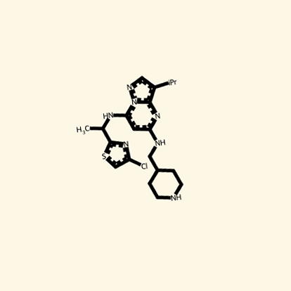 CC(C)c1cnn2c(NC(C)c3nc(Cl)cs3)cc(NCC3CCNCC3)nc12